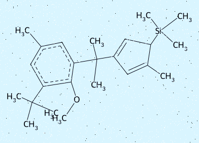 COc1c(C(C)(C)C)cc(C)cc1C(C)(C)C1=CC([Si](C)(C)C)C(C)=C1